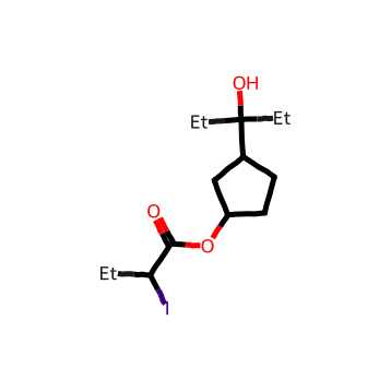 CCC(I)C(=O)OC1CCC(C(O)(CC)CC)C1